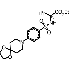 CCOC(=O)[C@@H](NS(=O)(=O)c1ccc(N2CCC3(CC2)OCCO3)cc1)C(C)C